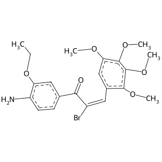 CCOc1cc(C(=O)/C(Br)=C\c2cc(OC)c(OC)c(OC)c2OC)ccc1N